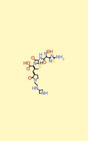 Nc1nc(C(=NO)C(=O)N[C@@H]2C(=O)N3C(C(=O)O)=C(C=C4CCN(CCNC5CNC5)C4=O)CS[C@H]23)ns1